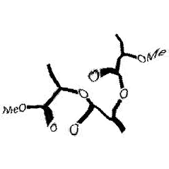 C=C(OC(=O)C(C)OC)C(=O)OC(C)C(=O)OC